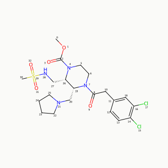 COC(=O)N1CCN(C(=O)Cc2ccc(Cl)c(Cl)c2)[C@H](CN2CCCC2)[C@@H]1CNS(C)(=O)=O